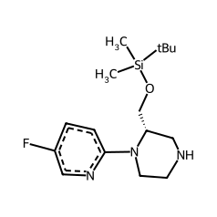 CC(C)(C)[Si](C)(C)OC[C@@H]1CNCCN1c1ccc(F)cn1